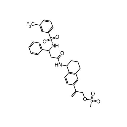 C=C(COS(C)(=O)=O)c1ccc2c(c1)CCCC2NC(=O)CC(NS(=O)(=O)c1cccc(C(F)(F)F)c1)c1ccccc1